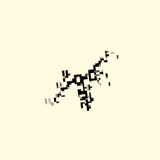 CCOC(=O)CC(C)c1ccc(N(CCCCCOC)CC(C)C)c(Nc2nc(C(F)(F)F)ns2)c1